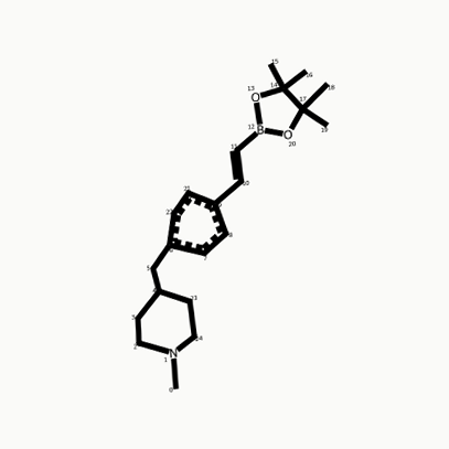 CN1CCC(Cc2ccc(/C=C/B3OC(C)(C)C(C)(C)O3)cc2)CC1